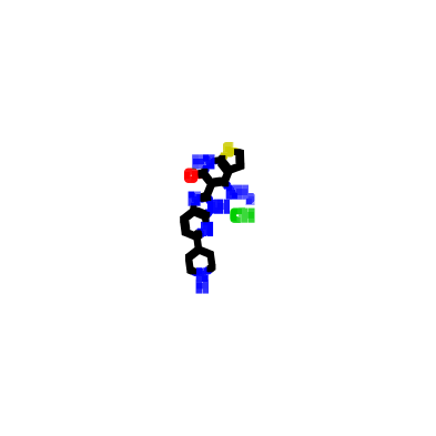 Cl.Nc1c(-c2nc3ccc(C4CCNCC4)nc3[nH]2)c(=O)[nH]c2sccc12